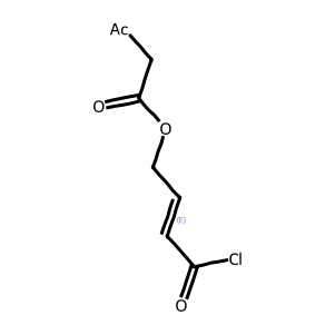 CC(=O)CC(=O)OC/C=C/C(=O)Cl